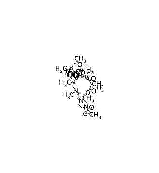 CO[C@]1(C)C[C@@H](C)CN(C)[C@@H](CN2CCN(S(C)(=O)=O)CC2)[C@H](C)OC(=O)C(C)(C)C(=O)[C@H](C)[C@H]1O[C@@H]1O[C@H](C)C[C@H](N(C)C)[C@H]1O